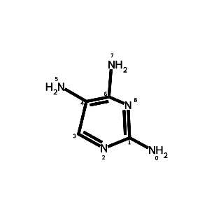 Nc1ncc(N)c(N)n1